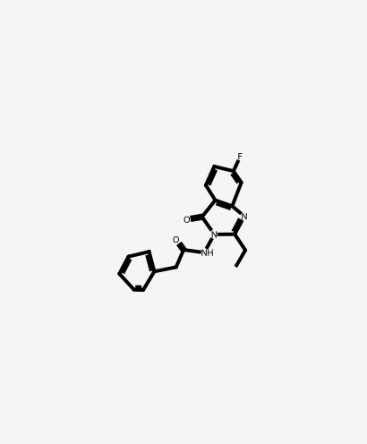 CCc1nc2cc(F)ccc2c(=O)n1NC(=O)Cc1ccccc1